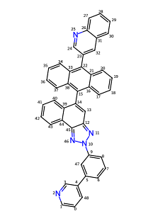 c1cncc(-c2cccc(-n3nc4cc(-c5c6ccccc6c(-c6cnc7ccccc7c6)c6ccccc56)c5ccccc5c4n3)c2)c1